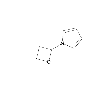 c1ccn(C2CCO2)c1